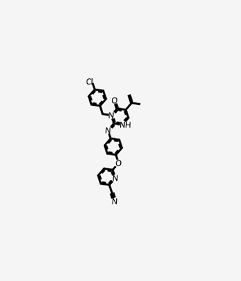 C=C(C)c1c[nH]/c(=N\c2ccc(Oc3cccc(C#N)n3)cc2)n(Cc2ccc(Cl)cc2)c1=O